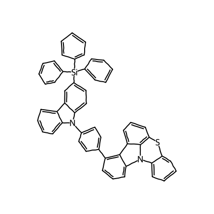 c1ccc([Si](c2ccccc2)(c2ccccc2)c2ccc3c(c2)c2ccccc2n3-c2ccc(-c3cccc4c3c3cccc5c3n4-c3ccccc3S5)cc2)cc1